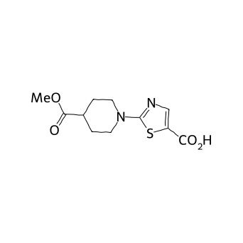 COC(=O)C1CCN(c2ncc(C(=O)O)s2)CC1